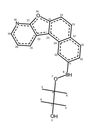 CC(C)(O)C(C)(C)OBc1ccc2ccc3oc4ncccc4c3c2c1